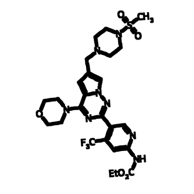 CCOC(=O)Nc1cc(C(F)(F)F)c(-c2nc(N3CCOCC3)c3cc(CN4CCN(S(C)(=O)=O)CC4)cn3n2)cn1